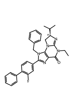 CCN1C(=O)c2nc(-c3ccc(-c4ccccc4)c(F)c3)n(Cc3ccccc3)c2N2C[C@@H](C(C)C)N=C12